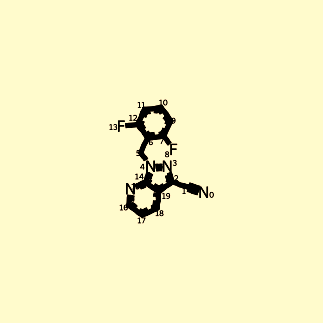 N#Cc1nn(Cc2c(F)cccc2F)c2ncccc12